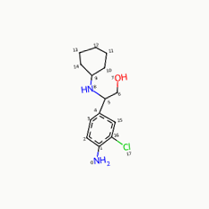 Nc1ccc(C(CO)NC2CCCCC2)cc1Cl